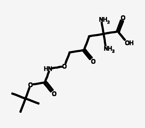 CC(C)(C)OC(=O)NOCC(=O)CC(N)(N)C(=O)O